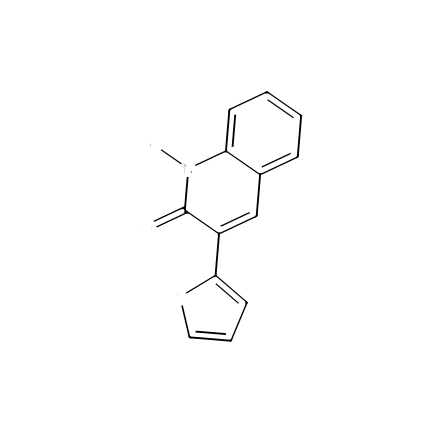 Cn1c(=O)c(-c2cccs2)cc2ccccc21